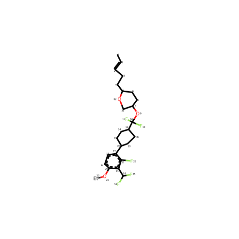 C/C=C/CCC1CCC(OC(F)(F)C2CCC(c3ccc(OCC)c(C(F)F)c3F)CC2)CO1